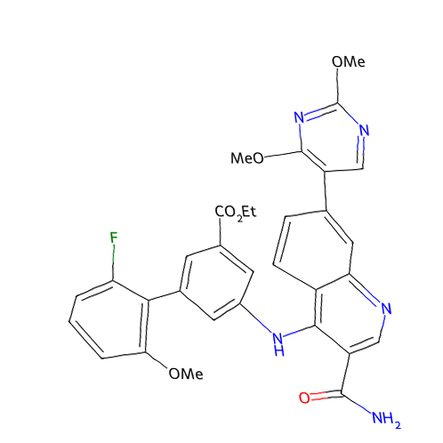 CCOC(=O)c1cc(Nc2c(C(N)=O)cnc3cc(-c4cnc(OC)nc4OC)ccc23)cc(-c2c(F)cccc2OC)c1